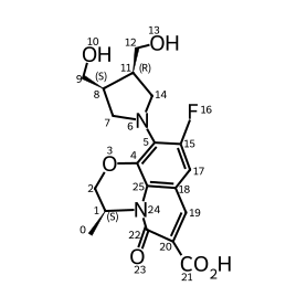 C[C@H]1COc2c(N3C[C@@H](CO)[C@@H](CO)C3)c(F)cc3cc(C(=O)O)c(=O)n1c23